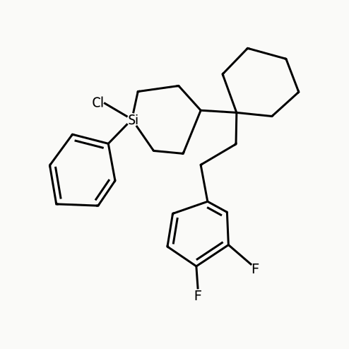 Fc1ccc(CCC2(C3CC[Si](Cl)(c4ccccc4)CC3)CCCCC2)cc1F